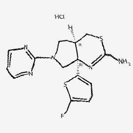 Cl.NC1=N[C@@]2(c3ccc(F)s3)CN(c3ncccn3)C[C@H]2CS1